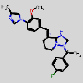 COc1cc(/C=C2\CCCN3C2NCN3[C@@H](C)c2ccc(F)cc2)ccc1-n1cnc(C)c1